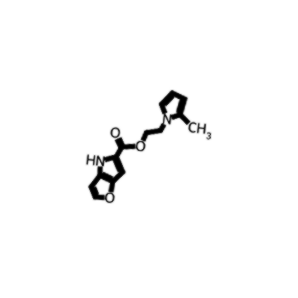 Cc1cccn1CCOC(=O)c1cc2occc2[nH]1